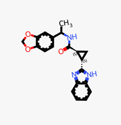 CC(NC(=O)[C@H]1C[C@@H]1c1nc2ccccc2[nH]1)c1ccc2c(c1)OCO2